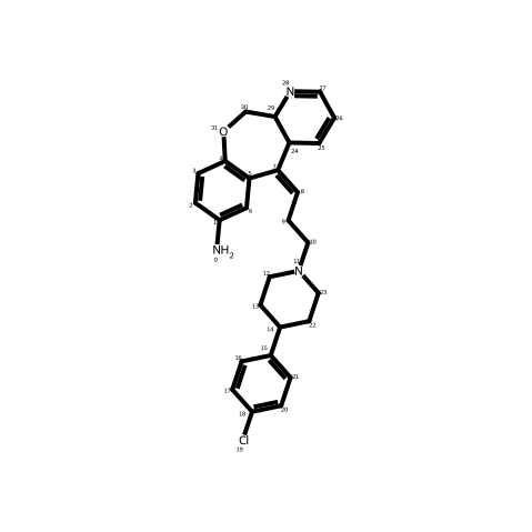 Nc1ccc2c(c1)C(=CCCN1CCC(c3ccc(Cl)cc3)CC1)C1C=CC=NC1CO2